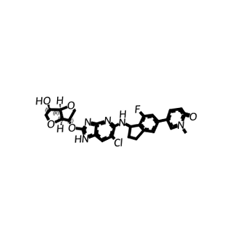 Cn1cc(-c2cc(F)c3c(c2)CCC3Nc2nc3nc(O[C@@H]4CO[C@H]5[C@@H]4OC[C@H]5O)[nH]c3cc2Cl)ccc1=O